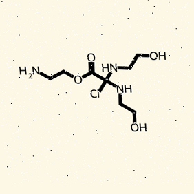 NCCOC(=O)C(Cl)(NCCO)NCCO